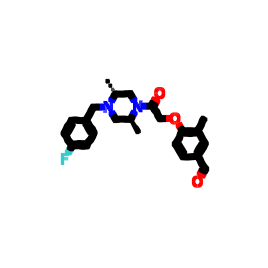 Cc1cc(C=O)ccc1OCC(=O)N1C[C@@H](C)N(Cc2ccc(F)cc2)C[C@@H]1C